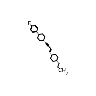 CCC[C@H]1CC[C@H](/C=C/C#C[C@H]2CC[C@H](c3ccc(F)cc3)CC2)CC1